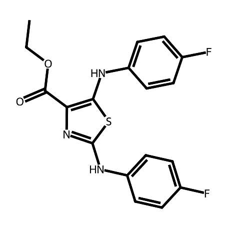 CCOC(=O)c1nc(Nc2ccc(F)cc2)sc1Nc1ccc(F)cc1